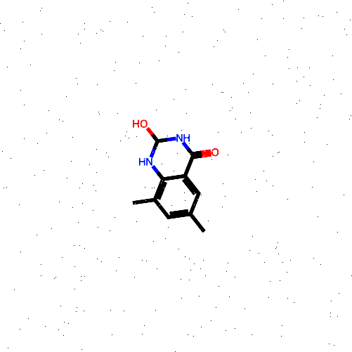 Cc1cc(C)c2c(c1)C(=O)NC(O)N2